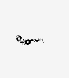 NCCSCc1ccc2oc(CN3CCOCC3)nc2c1